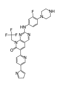 O=c1c(-c2ccc(C3=CCC=N3)cn2)cc2cnc(Nc3ccc(N4CCNCC4)c(F)c3)nc2n1CC(F)(F)F